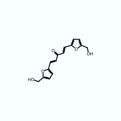 O=C(/C=C/c1ccc(CO)o1)/C=C/c1ccc(CO)o1